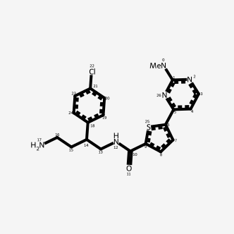 CNc1nccc(-c2ccc(C(=O)NCC(CCN)c3ccc(Cl)cc3)s2)n1